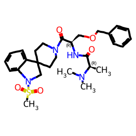 C[C@H](C(=O)N[C@H](COCc1ccccc1)C(=O)N1CCC2(CC1)CN(S(C)(=O)=O)c1ccccc12)N(C)C